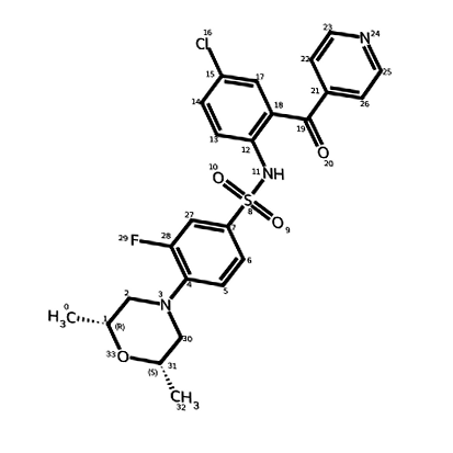 C[C@@H]1CN(c2ccc(S(=O)(=O)Nc3ccc(Cl)cc3C(=O)c3ccncc3)cc2F)C[C@H](C)O1